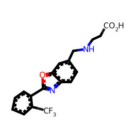 O=C(O)CCNCc1ccc2nc(-c3ccccc3C(F)(F)F)oc2c1